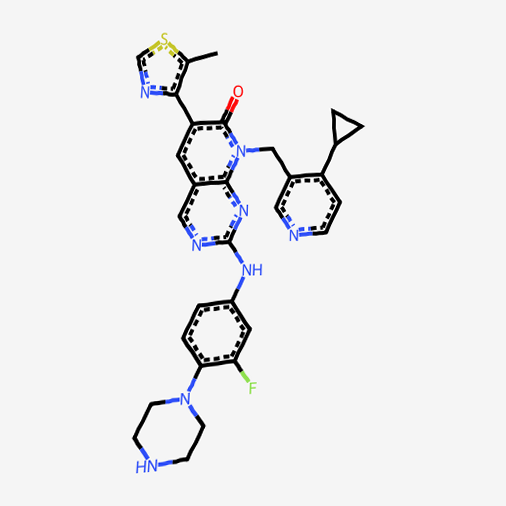 Cc1scnc1-c1cc2cnc(Nc3ccc(N4CCNCC4)c(F)c3)nc2n(Cc2cnccc2C2CC2)c1=O